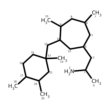 CC(N)CC1CC(C)CC(C)C(CC2(C)CCC(C)C(C)C2)C1